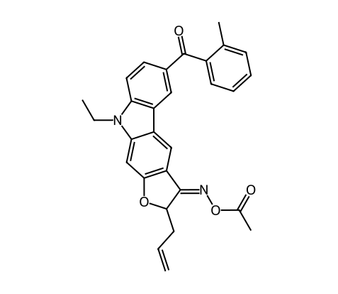 C=CCC1Oc2cc3c(cc2/C1=N/OC(C)=O)c1cc(C(=O)c2ccccc2C)ccc1n3CC